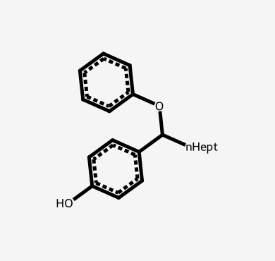 CCCCCCCC(Oc1ccccc1)c1ccc(O)cc1